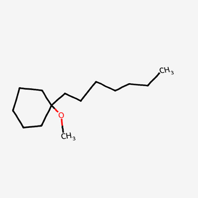 CCCCCCCC1(OC)CCCCC1